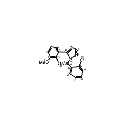 COc1cccc(-c2nnnn2Cc2ccccc2Cl)c1OC